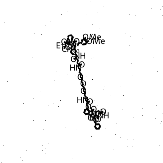 CCC(C)(C)C(=O)C(=O)N1CCCC[C@H]1C(=O)O[C@H](CCc1ccc(OC)c(OC)c1)c1cccc(NC(=O)CCC(=O)NCCCOCCOCCOCCCNC(=O)COc2cccc3c2C(=O)N(C2(C(=O)OCc4ccccc4)CCC(=O)NC2=O)C3=O)c1